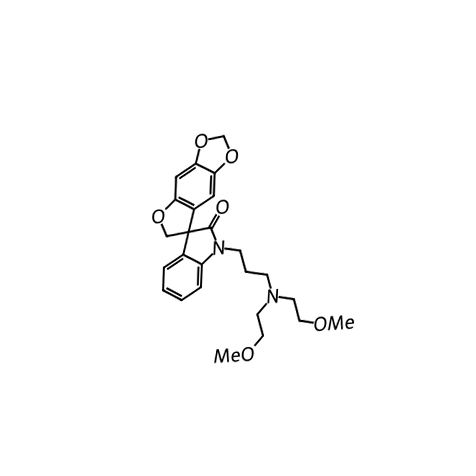 COCCN(CCCN1C(=O)C2(COc3cc4c(cc32)OCO4)c2ccccc21)CCOC